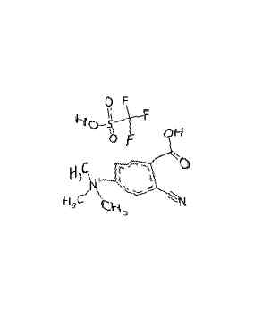 C[N+](C)(C)c1ccc(C(=O)O)c(C#N)c1.O=S(=O)(O)C(F)(F)F